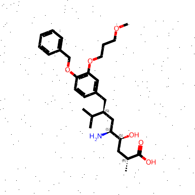 COCCCOc1cc(C[C@@H](C[C@H](N)[C@@H](O)C[C@@H](C)C(=O)O)C(C)C)ccc1OCc1ccccc1